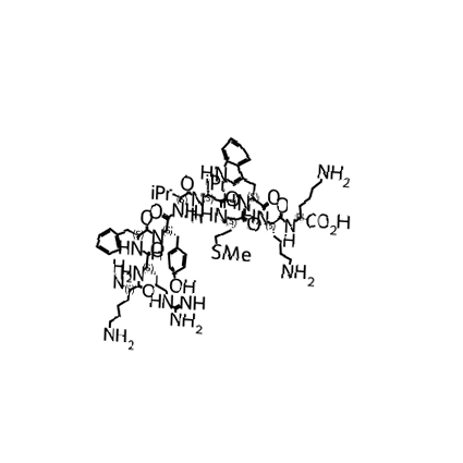 CSCC[C@H](NC(=O)[C@@H](NC(=O)[C@@H](NC(=O)[C@H](Cc1ccc(O)cc1)NC(=O)[C@H](Cc1ccccc1)NC(=O)[C@H](CCCNC(=N)N)NC(=O)[C@@H](N)CCCCN)C(C)C)C(C)C)C(=O)N[C@@H](Cc1c[nH]c2ccccc12)C(=O)N[C@@H](CCCCN)C(=O)N[C@H](CCCCN)C(=O)O